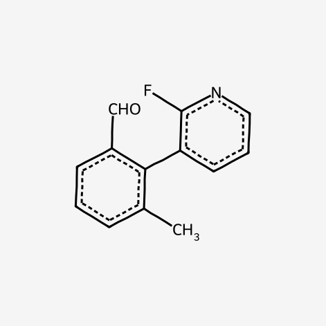 Cc1cccc(C=O)c1-c1cccnc1F